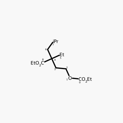 CCOC(=O)OCCC(CC)(CC(C)C)C(=O)OCC